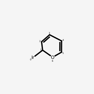 [Ir][CH]1C=CC=CO1